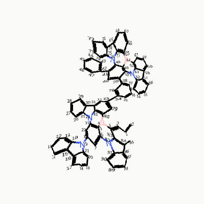 C=C/C=C1/B2c3c(cc(-n4c5ccccc5c5ccccc54)cc3-n3c4ccccc4c4cc(-c5cccc(-c6cc(-c7ccccc7)c7c8c6-n6c9ccccc9c9cccc(c96)B8c6cccc8c9ccccc9n-7c68)c5)cc2c43)-n2c1c(C)c1ccccc12